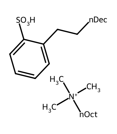 CCCCCCCCCCCCc1ccccc1S(=O)(=O)O.CCCCCCCC[N+](C)(C)C